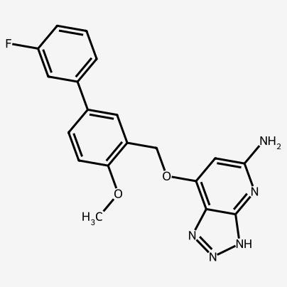 COc1ccc(-c2cccc(F)c2)cc1COc1cc(N)nc2[nH]nnc12